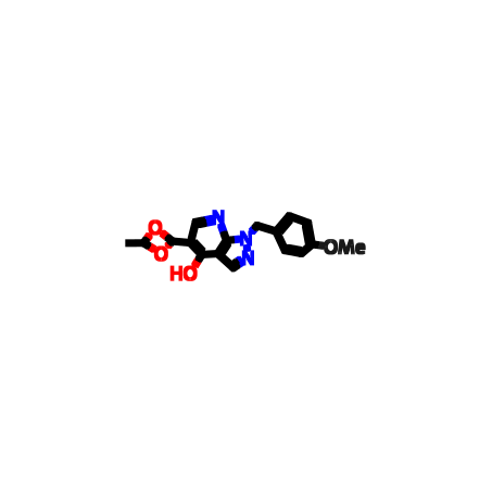 COc1ccc(Cn2ncc3c(O)c(C4OC(C)O4)cnc32)cc1